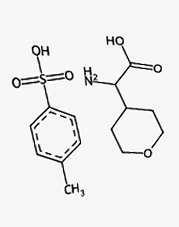 Cc1ccc(S(=O)(=O)O)cc1.NC(C(=O)O)C1CCOCC1